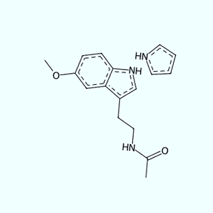 COc1ccc2[nH]cc(CCNC(C)=O)c2c1.c1cc[nH]c1